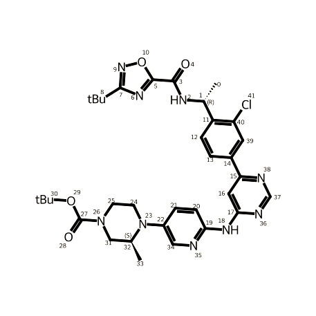 C[C@@H](NC(=O)c1nc(C(C)(C)C)no1)c1ccc(-c2cc(Nc3ccc(N4CCN(C(=O)OC(C)(C)C)C[C@@H]4C)cn3)ncn2)cc1Cl